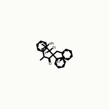 CCCC(C)(C)C(CC)(CC)C(Cc1ccccc1CC)(C(=O)C(C)c1ccccc1)c1ccccc1